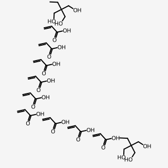 C=CC(=O)O.C=CC(=O)O.C=CC(=O)O.C=CC(=O)O.C=CC(=O)O.C=CC(=O)O.C=CC(=O)O.C=CC(=O)O.C=CC(=O)O.CCC(CO)(CO)CO.CCC(CO)(CO)CO